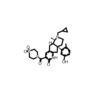 Cc1ccc(O)cc1[C@]12CCN(CC3CC3)[C@H](C)[C@@H]1Cc1cc(C(=O)N3CCS(=O)(=O)CC3)c(=O)[nH]c1C2